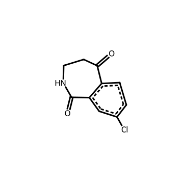 O=C1CCNC(=O)c2cc(Cl)ccc21